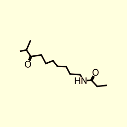 CCC(=O)NCCCCCCCC(=O)C(C)C